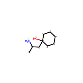 [CH2]C(N)CC1(O)CCCCC1